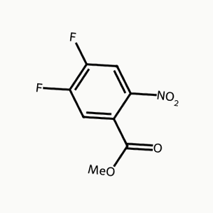 COC(=O)c1cc(F)c(F)cc1[N+](=O)[O-]